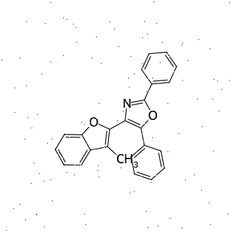 Cc1c(-c2nc(-c3ccccc3)oc2-c2ccccc2)oc2ccccc12